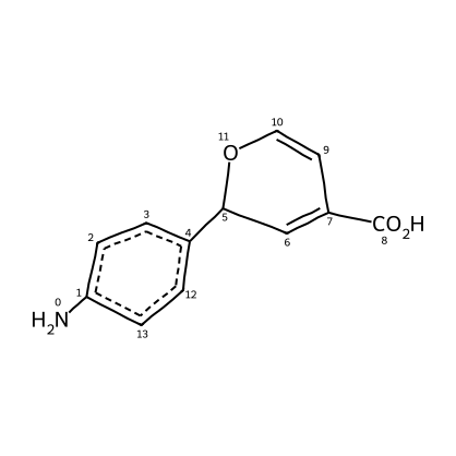 Nc1ccc(C2C=C(C(=O)O)C=CO2)cc1